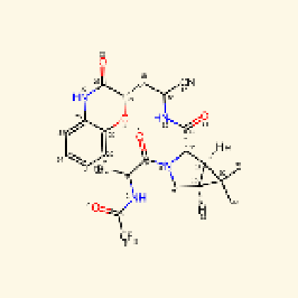 CC(C)(C)C(NC(=O)C(F)(F)F)C(=O)N1C[C@H]2[C@@H]([C@H]1C(=O)NC(C#N)C[C@@H]1Oc3ccccc3NC1=O)C2(C)C